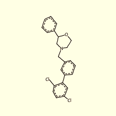 Clc1ccc(Cl)c(-c2cccc(CN3CCOC(c4ccccc4)C3)c2)c1